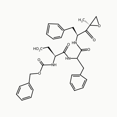 C[C@]1(C(=O)[C@H](Cc2ccccc2)NC(=O)C(Cc2ccccc2)NC(=O)[C@H](CC(=O)O)NC(=O)OCc2ccccc2)CO1